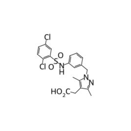 Cc1nn(Cc2cccc(NS(=O)(=O)c3cc(Cl)ccc3Cl)c2)c(C)c1CC(=O)O